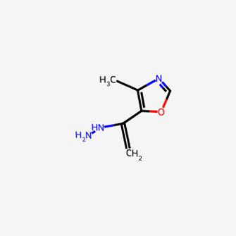 C=C(NN)c1ocnc1C